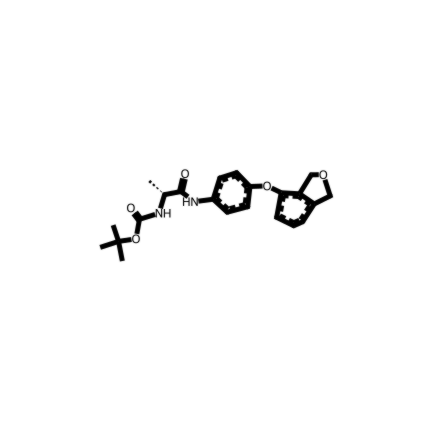 C[C@@H](NC(=O)OC(C)(C)C)C(=O)Nc1ccc(Oc2cccc3c2COC3)cc1